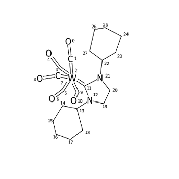 O=[C]=[W](=[C]=O)(=[C]=O)(=[C]=O)(=[C]=O)=[C]1N(C2CCCCC2)CCN1C1CCCCC1